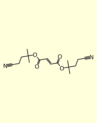 CC(C)(CCC#N)OC(=O)/C=C/C(=O)OC(C)(C)CCC#N